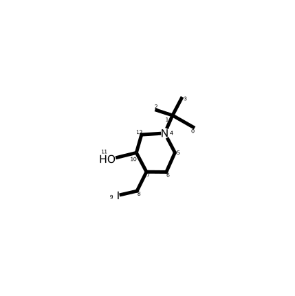 CC(C)(C)N1CCC(CI)C(O)C1